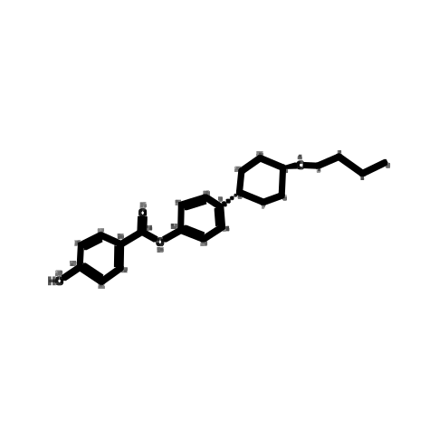 CCCCC[C@H]1CC[C@H](c2ccc(OC(=O)c3ccc(O)cc3)cc2)CC1